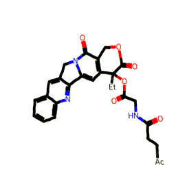 CCC1(OC(=O)CNC(=O)CCC(C)=O)C(=O)OCc2c1cc1n(c2=O)Cc2cc3ccccc3nc2-1